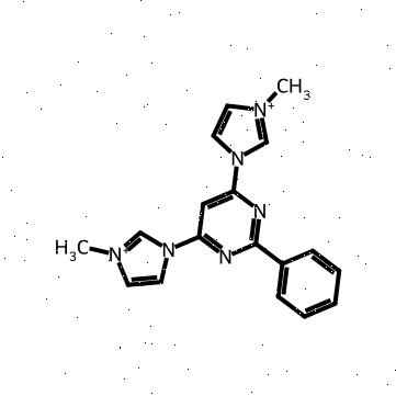 C[n+]1ccn(-c2cc(-n3cc[n+](C)c3)nc(-c3ccccc3)n2)c1